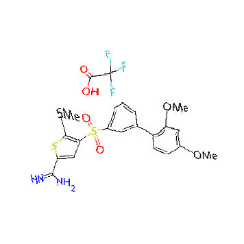 COc1ccc(-c2cccc(S(=O)(=O)c3cc(C(=N)N)sc3SC)c2)c(OC)c1.O=C(O)C(F)(F)F